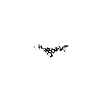 CC(F)(F)CCCn1ncc2c(C(=O)N(C3CC3)C3CCc4nn(C(=O)OC(C)(C)CN=[N+]=[N-])cc4C3)cccc21